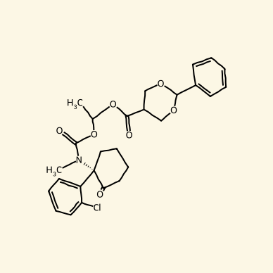 CC(OC(=O)C1COC(c2ccccc2)OC1)OC(=O)N(C)[C@]1(c2ccccc2Cl)CCCCC1=O